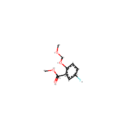 COCOc1ccc(F)cc1C(=O)OC